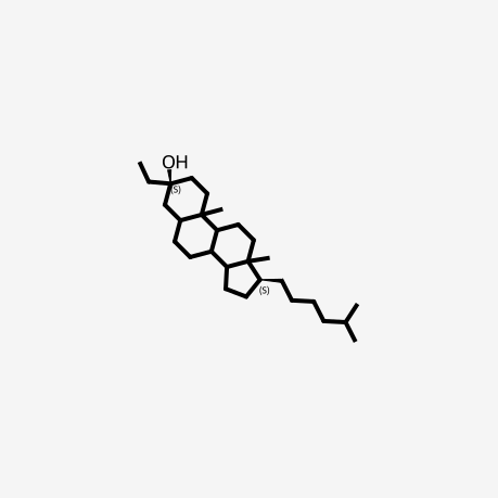 CC[C@]1(O)CCC2(C)C(CCC3C2CCC2(C)C3CC[C@@H]2CCCCC(C)C)C1